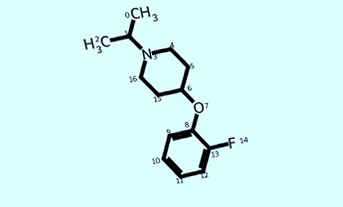 CC(C)N1CCC(Oc2ccccc2F)CC1